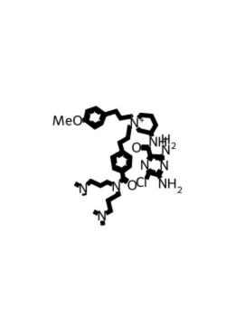 COc1ccc(CCC[N+]2(CCCc3ccc(C(=O)N(CCCN(C)C)CCCN(C)C)cc3)CCCC(NC(=O)c3nc(Cl)c(N)nc3N)C2)cc1